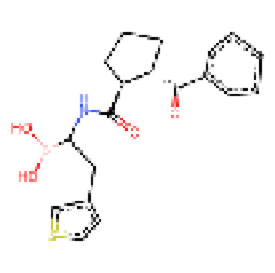 O=C(NC(Cc1ccsc1)B(O)O)[C@H]1CCC[C@@H]1C(=O)c1ccccc1